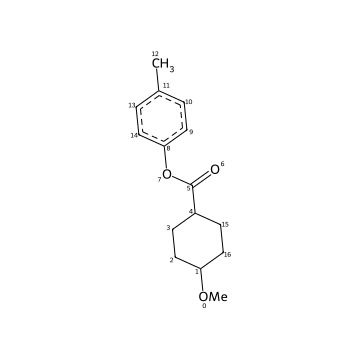 COC1CCC(C(=O)Oc2ccc(C)cc2)CC1